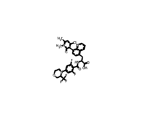 Cc1cc(Cl)c(-c2ccc(CC(NC(=O)c3c(F)cc(N4CCOCC4C(F)(F)F)cc3F)C(=O)O)c3cccnc23)c(=O)n1C